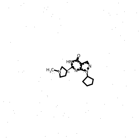 CN1CC[C@H](c2nc3c(cnn3C3CCCC3)c(=O)[nH]2)C1